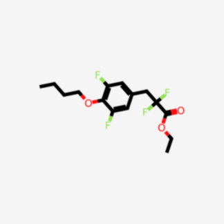 CCCCOc1c(F)cc(CC(F)(F)C(=O)OCC)cc1F